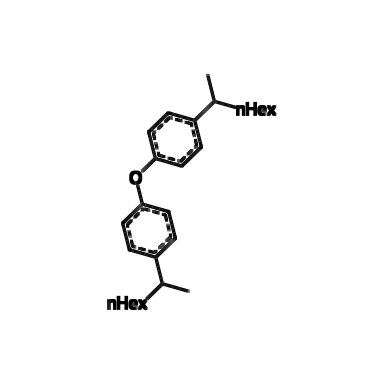 CCCCCCC(C)c1ccc(Oc2ccc(C(C)CCCCCC)cc2)cc1